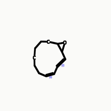 C1=C\CCCCCCC2OC2/C=C/1